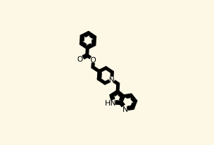 O=C(OCC1=CCN(Cc2c[nH]c3ncccc23)CC1)c1ccccc1